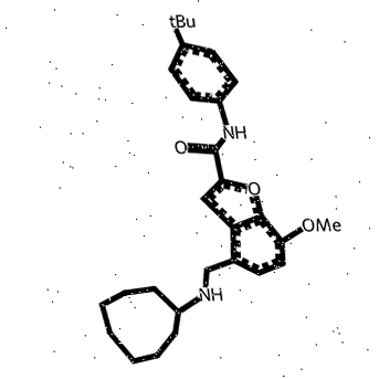 COc1ccc(CNC2CCCCCCC2)c2cc(C(=O)Nc3ccc(C(C)(C)C)cc3)oc12